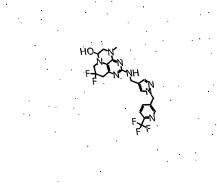 C[C@H]1C(O)N2CC(F)(F)Cc3nc(NCc4cnn(Cc5ccc(C(F)(F)F)nc5)c4)nc(c32)N1C